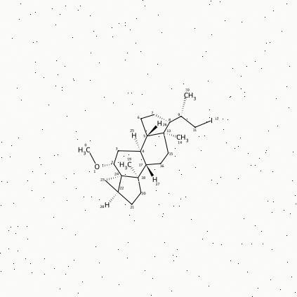 CO[C@@H]1C[C@H]2[C@@H]3CC[C@H]([C@H](C)CI)[C@@]3(C)CC[C@@H]2[C@@]2(C)CC[C@H]3C[C@]312